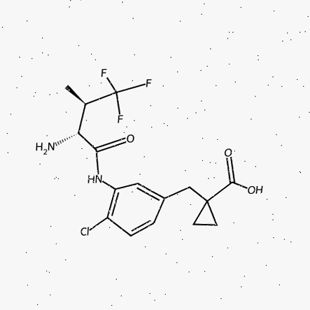 C[C@H]([C@@H](N)C(=O)Nc1cc(CC2(C(=O)O)CC2)ccc1Cl)C(F)(F)F